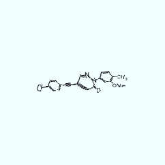 COc1cc(-n2ncc(C#Cc3ccc(Cl)cc3)cc2=O)ccc1C